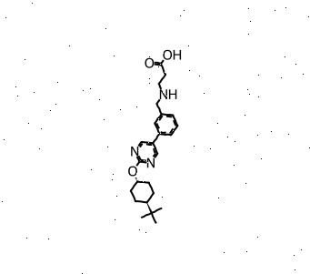 CC(C)(C)[C@H]1CC[C@H](Oc2ncc(-c3cccc(CNCCC(=O)O)c3)cn2)CC1